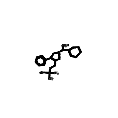 CC(C)(C)[Si](C)(C)OCC1CN(C(C(=O)O)C2CCCCC2)CC1c1ccccc1